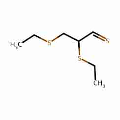 CCSCC(C=S)SCC